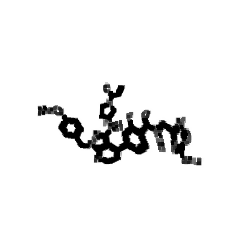 C=CC(=O)N1CC[C@@H](Nc2nn(Cc3ccc(OC)cc3)c3nccc(-c4ccc(C(=O)NCc5noc(C(C)(C)C)n5)c(F)c4)c23)C1